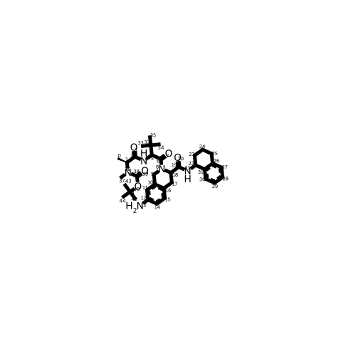 C[C@@H](C(=O)NC(C(=O)N1Cc2cc(N)ccc2CC1C(=O)NC1CCCc2ccccc21)C(C)(C)C)N(C)C(=O)OC(C)(C)C